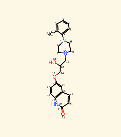 N#Cc1ccccc1N1CCN(CC(O)COc2ccc3[nH]c(=O)ccc3c2)CC1